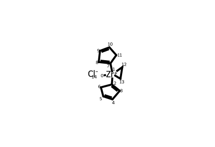 [CH3][Zr+]1([C]2=CC=CC2)([C]2=CC=CC2)[CH2][CH2]1.[Cl-]